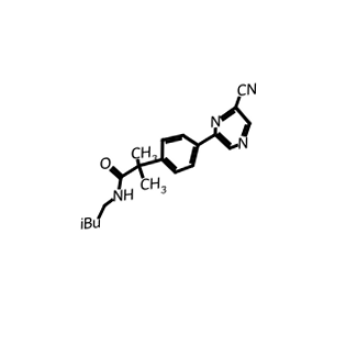 CCC(C)CNC(=O)C(C)(C)c1ccc(-c2cncc(C#N)n2)cc1